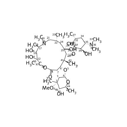 CO[C@]1(C)C[C@H](O[C@@H]2CC(=O)OC[C@@](C)(O)[C@H](O)[C@@H](C)N(C)C[C@H](C)C[C@@](C)(O)[C@H](O[C@@H]3O[C@H](C)C[C@H](N(C)C)[C@H]3O)[C@H]2C)O[C@@H](C)[C@@H]1O